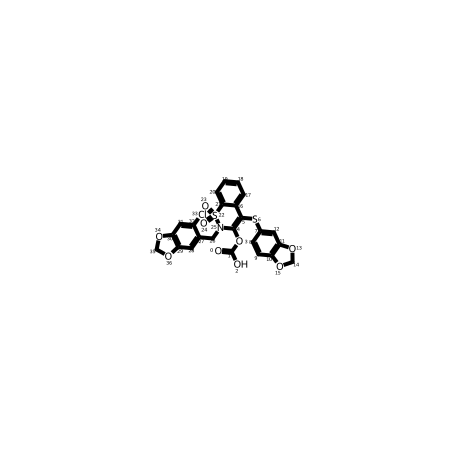 O=C(O)OC1=C(Sc2ccc3c(c2)OCO3)c2ccccc2S(=O)(=O)N1Cc1cc2c(cc1Cl)OCO2